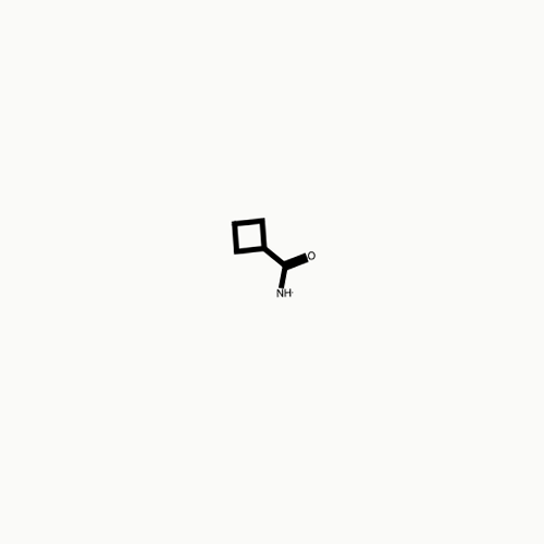 [NH]C(=O)C1CCC1